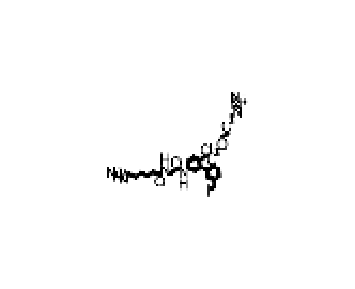 [N-]=[N+]=NCCCCCC(=O)NCC(=O)Nc1ccc(CCl)c(-c2cc(CI)ccc2OCCOCCOCCN=[N+]=[N-])c1